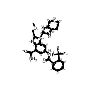 COCc1nc2c(C(N)=O)cc(NC(=O)c3ccccc3C(F)(F)F)cc2n1-c1nc2ccccc2s1